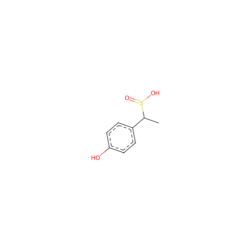 CC(c1ccc(O)cc1)S(=O)O